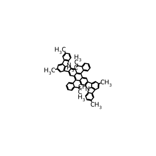 Cc1ccc2c(c1)c1cc(C)cc3c4cc5c(-c6ccccc6C(C)C)c6cc7c(cc6c(-c6ccccc6C(C)C)c5cc4n2c13)c1cc(C)cc2c3cc(C)ccc3n7c21